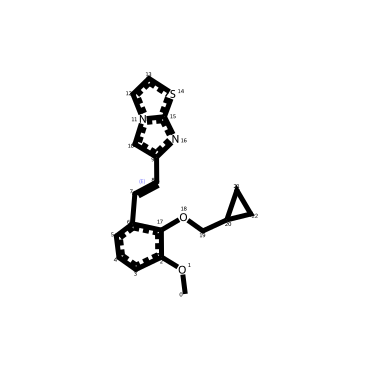 COc1cccc(/C=C/c2cn3ccsc3n2)c1OCC1CC1